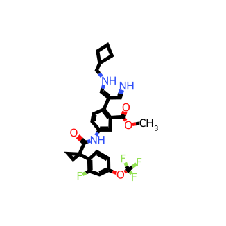 COC(=O)c1cc(NC(=O)C2(c3ccc(OC(F)(F)F)cc3F)CC2)ccc1/C(C=N)=C/NCC1CCC1